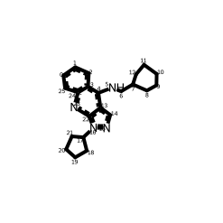 c1ccc2c(NCC3CCCCC3)c3cnn(C4CCCC4)c3nc2c1